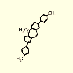 CB1c2ccc(-c3ccc(C)cc3)cc2C=Cc2cc(-c3ccc(C)cc3)ccc21